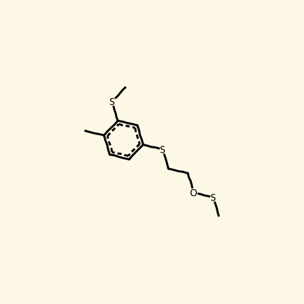 CSOCCSc1ccc(C)c(SC)c1